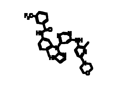 Cc1ccc(NC(=O)c2cccc(C(F)(F)F)c2)cc1N(c1cc(Nc2ccc(N3CCOCC3)nc2C)ncn1)c1ncc[nH]1